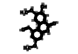 COc1cc(C=O)c2c(c1)oc(=O)c1cc(O)c(OC)cc12